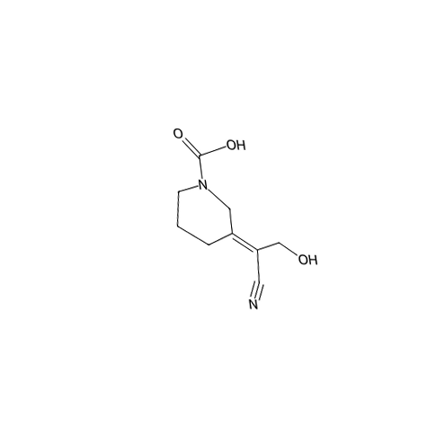 N#CC(CO)=C1CCCN(C(=O)O)C1